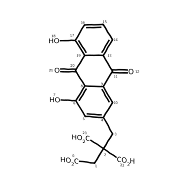 O=C(O)CC(Cc1cc(O)c2c(c1)C(=O)c1cccc(O)c1C2=O)(C(=O)O)C(=O)O